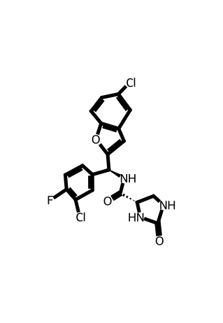 O=C1NC[C@@H](C(=O)N[C@@H](c2ccc(F)c(Cl)c2)c2cc3cc(Cl)ccc3o2)N1